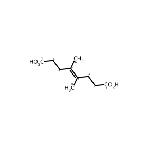 C/C(CCC(=O)O)=C(/C)CCC(=O)O